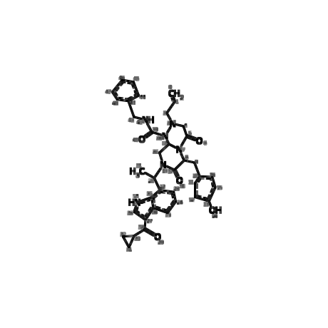 C=CCN1CC(=O)N2C(Cc3ccc(O)cc3)C(=O)N(C(C)c3cccc4c(C(=O)C5CC5)c[nH]c34)CC2N1C(=O)NCc1ccccc1